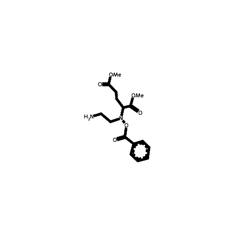 COC(=O)CCC(C(=O)OC)N(CCN)OC(=O)c1ccccc1